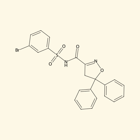 O=C(NS(=O)(=O)c1cccc(Br)c1)C1=NOC(c2ccccc2)(c2ccccc2)C1